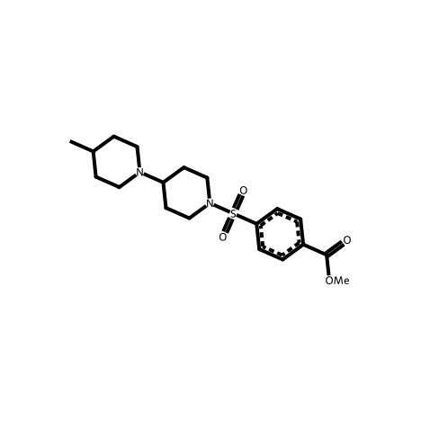 COC(=O)c1ccc(S(=O)(=O)N2CCC(N3CCC(C)CC3)CC2)cc1